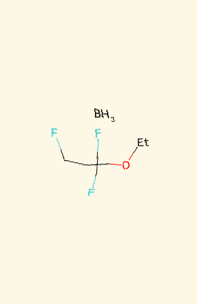 B.CCOC(F)(F)CF